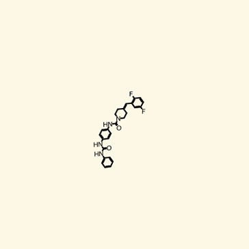 O=C(Nc1ccccc1)Nc1ccc(NC(=O)N2CCC(=Cc3cc(F)ccc3F)CC2)cc1